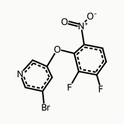 O=[N+]([O-])c1ccc(F)c(F)c1Oc1cncc(Br)c1